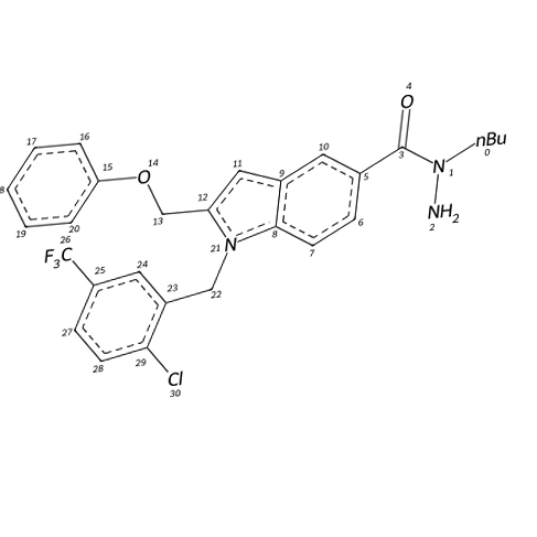 CCCCN(N)C(=O)c1ccc2c(c1)cc(COc1ccccc1)n2Cc1cc(C(F)(F)F)ccc1Cl